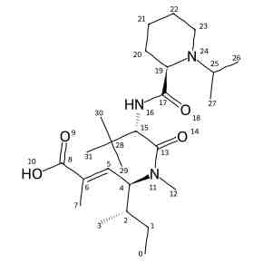 CC[C@H](C)[C@@H](/C=C(\C)C(=O)O)N(C)C(=O)[C@@H](NC(=O)[C@H]1CCCCN1C(C)C)C(C)(C)C